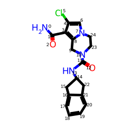 NC(=O)c1c(Cl)cn2c1CN(C(=O)NC1Cc3ccccc3C1)CC2